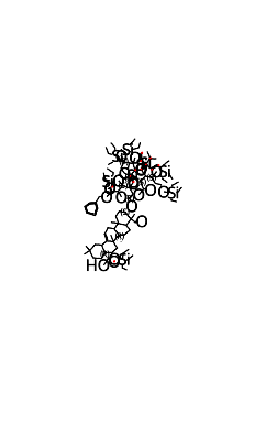 CC[Si](CC)(CC)OCC1OC(OC2C(O[C@@H]3OC[C@@H](O[Si](CC)(CC)CC)C(O[Si](CC)(CC)CC)C3O[Si](CC)(CC)CC)[C@H](O[Si](CC)(CC)CC)C(C(=O)OCc3ccccc3)O[C@H]2O[C@H]2CCC3(C)C(CC[C@]4(C)C3CC=C3C5CC(C)(C)CC[C@]5(C(=O)O)C(O[Si](CC)(CC)CC)CC34C)C2(C)C=O)[C@@H](O[Si](CC)(CC)CC)C(O[Si](CC)(CC)CC)[C@H]1O[Si](CC)(CC)CC